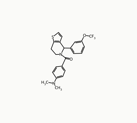 CN(C)c1ccc(C(=O)N2CCc3sccc3C2c2cccc(OC(F)(F)F)c2)cc1